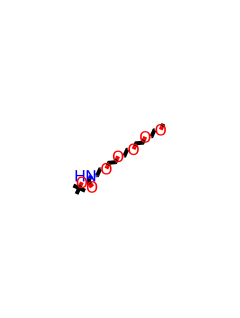 COCCOCCOCCOCCOCCNC(=O)OC(C)(C)C